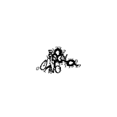 COCCN(C)C(=O)C(O)c1cc(-c2ccc(C)cc2)nc2cccc(C(F)(F)F)c12